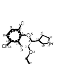 CCOC[C@H](Oc1c(Cl)ccc(Cl)c1F)C1CCNC1